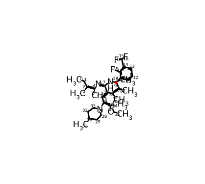 CC/C(C)=C(C)\N=C(NCc1cccc(C(F)F)c1F)/C(=C/C(=C(\C)OC)N1CCC(C)CC1)C(/C)=C(/C)CC